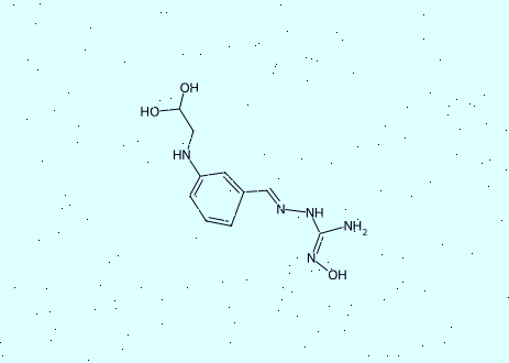 NC(=NO)NN=Cc1cccc(NCC(O)O)c1